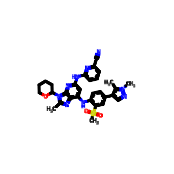 Cc1c(-c2ccc(Nc3cc(Nc4cccc(C#N)n4)nc4c3nc(C)n4C3CCCCO3)c(S(C)(=O)=O)c2)cnn1C